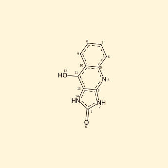 O=c1[nH]c2nc3ccccc3c(O)c2[nH]1